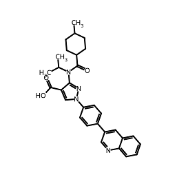 CC1CCC(C(=O)N(c2nn(-c3ccc(-c4cnc5ccccc5c4)cc3)cc2C(=O)O)C(C)C)CC1